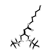 CCCCCCOC(=O)C=C(CO[Si](C)(C)C(C)(C)C)CO[Si](C)(C)C(C)(C)C